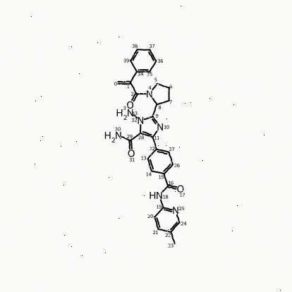 C=C(C(=O)N1CCCC1c1nc(-c2ccc(C(=O)Nc3ccc(C)cn3)cc2)c(C(N)=O)n1N)c1ccccc1